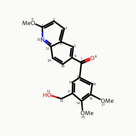 COc1ccc2cc(C(=O)c3cc(CO)c(OC)c(OC)c3)ccc2n1